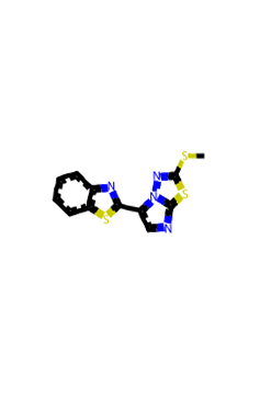 CSc1nn2c(-c3nc4ccccc4s3)cnc2s1